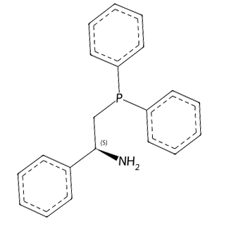 N[C@H](CP(c1ccccc1)c1ccccc1)c1ccccc1